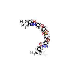 Cc1ccc(C(=O)Nc2ccc(Oc3ccc(S(=O)(=O)c4ccc(Oc5ccc(NC(=O)c6ccc(C)c(C)c6)cc5)cc4)cc3)cc2)cc1C